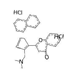 CN(C)CC1=C(c2cc(=O)c3ccccc3o2)CC=C1.Cl.Cl.c1ccc2ccccc2c1